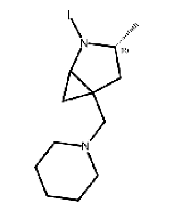 C[C@@H]1CC2(CN3CCCCC3)CC2N1I